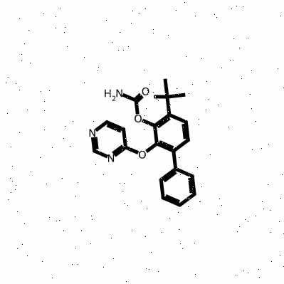 CC(C)(C)c1ccc(-c2ccccc2)c(Oc2ccncn2)c1OC(N)=O